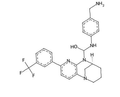 NCc1ccc(NC(O)N2c3nc(-c4cccc(C(F)(F)F)c4)ccc3N3CCC[C@H]2C3)cc1